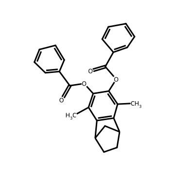 Cc1c(OC(=O)c2ccccc2)c(OC(=O)c2ccccc2)c(C)c2c1C1CCC2C1